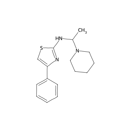 CC(Nc1nc(-c2ccccc2)cs1)N1CCCCC1